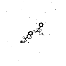 Cc1oc(-c2ccccc2)nc1COc1ccc2c(c1)OCC(C(=O)OC(C)(C)C)C2